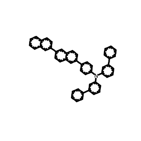 c1ccc(-c2cccc(N(c3ccc(-c4ccc5cc(-c6ccc7ccccc7c6)ccc5c4)cc3)c3cccc(-c4ccccc4)c3)c2)cc1